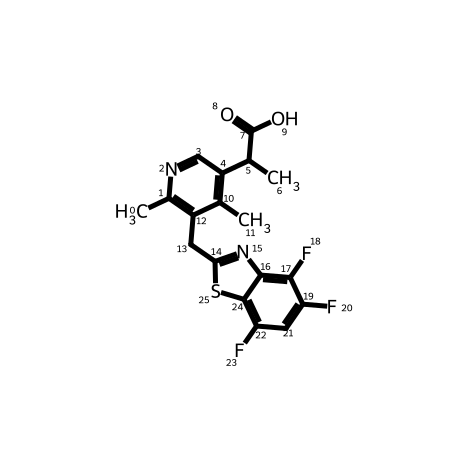 Cc1ncc(C(C)C(=O)O)c(C)c1Cc1nc2c(F)c(F)cc(F)c2s1